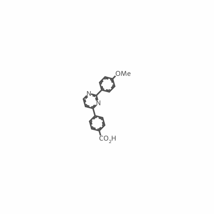 COc1ccc(-c2nccc(-c3ccc(C(=O)O)cc3)n2)cc1